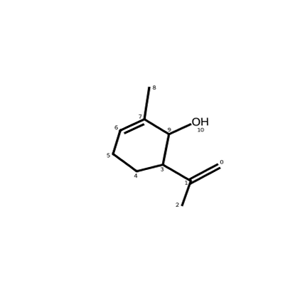 C=C(C)C1CCC=C(C)C1O